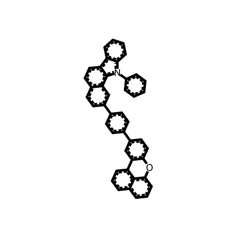 c1ccc(-n2c3ccccc3c3ccc4ccc(-c5ccc(-c6ccc7c(c6)-c6cccc8cccc(c68)O7)cc5)cc4c32)cc1